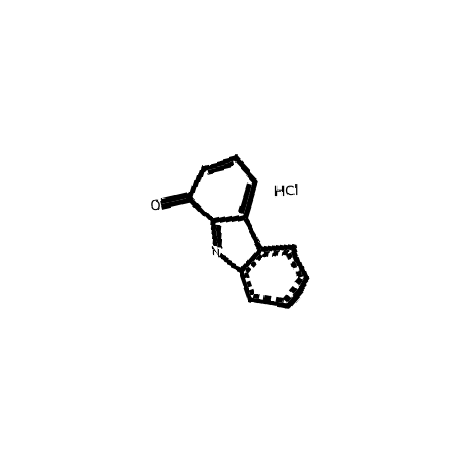 Cl.O=C1C=CC=C2C1=Nc1ccccc12